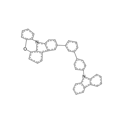 c1cc(-c2ccc(-n3c4ccccc4c4ccccc43)cc2)cc(-c2ccc3c(c2)c2cccc4c2n3-c2ccccc2O4)c1